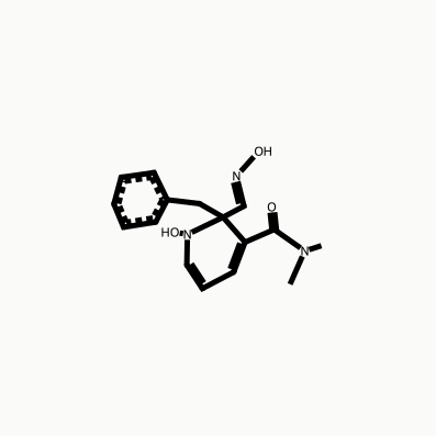 CN(C)C(=O)C1=CC=CN(O)C1(C=NO)Cc1ccccc1